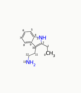 CCc1[nH]c2ccccc2c1CCN